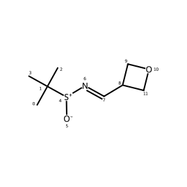 CC(C)(C)[S+]([O-])/N=C/C1COC1